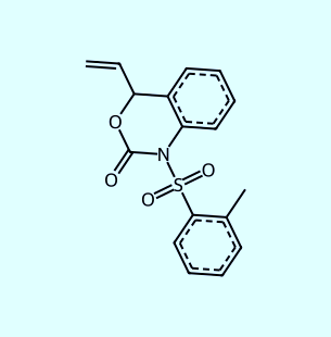 C=CC1OC(=O)N(S(=O)(=O)c2ccccc2C)c2ccccc21